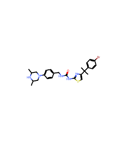 CC1CN(c2ccc(CNC(=O)Nc3nc(C(C)(C)c4ccc(Br)cc4)cs3)cc2)CC(C)N1